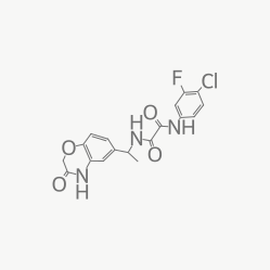 CC(NC(=O)C(=O)Nc1ccc(Cl)c(F)c1)c1ccc2c(c1)NC(=O)CO2